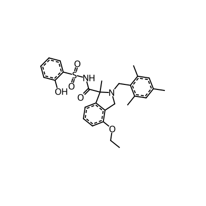 CCOc1cccc2c1CN(Cc1c(C)cc(C)cc1C)C2(C)C(=O)NS(=O)(=O)c1ccccc1O